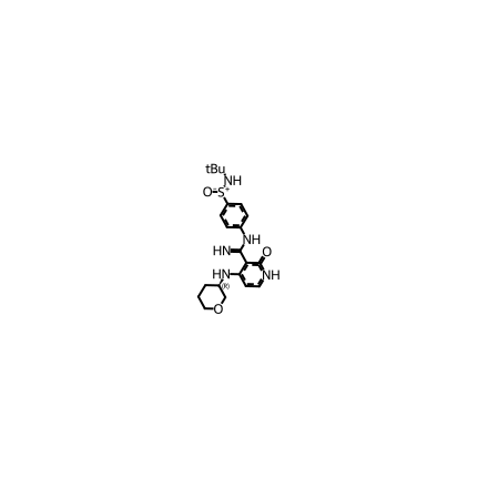 CC(C)(C)N[S+]([O-])c1ccc(NC(=N)c2c(N[C@@H]3CCCOC3)cc[nH]c2=O)cc1